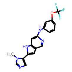 Cn1cncc1-c1cc2cnc(Nc3cccc(OC(F)(F)F)c3)cc2[nH]1